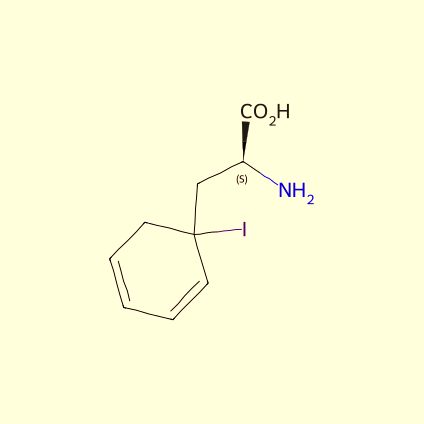 N[C@@H](CC1(I)C=CC=CC1)C(=O)O